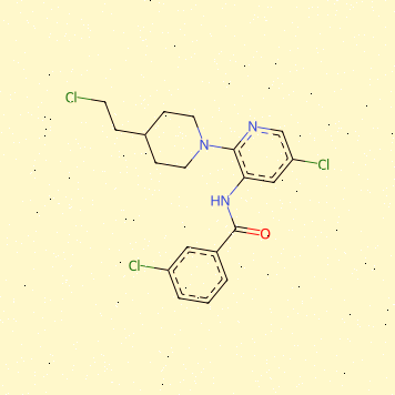 O=C(Nc1cc(Cl)cnc1N1CCC(CCCl)CC1)c1cccc(Cl)c1